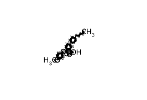 CCCCC[C@H]1CC[C@H](c2ccc(C(=O)Oc3ccc(OC)cc3)c(C(=O)O)c2)CC1